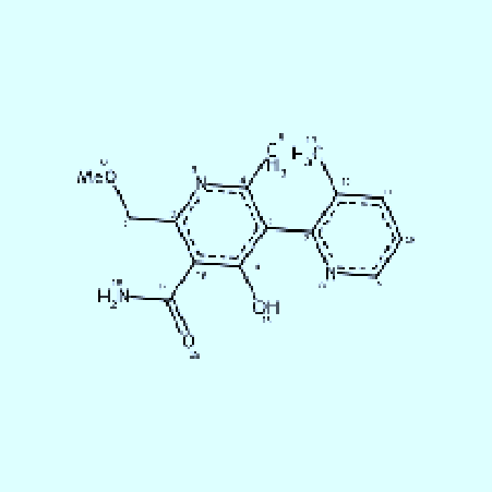 COCc1nc(C)c(-c2ncccc2C)c(O)c1C(N)=O